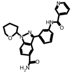 NC(=O)c1ccc2c(c1)c(-c1cccc(NC(=O)c3cccnc3)c1)nn2C1CCCCO1